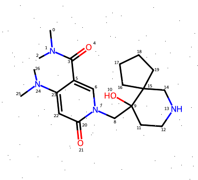 CN(C)C(=O)c1cn(CC2(O)CCNCC23CCCC3)c(=O)cc1N(C)C